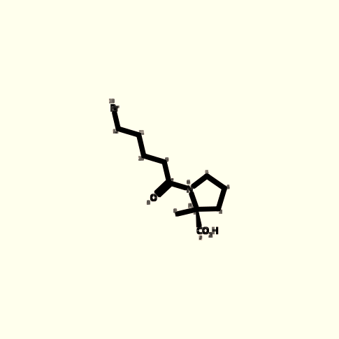 C[C@@]1(C(=O)O)CCCN1C(=O)CCCCBr